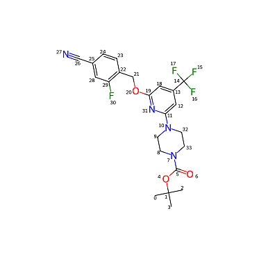 CC(C)(C)OC(=O)N1CCN(c2cc(C(F)(F)F)cc(OCc3ccc(C#N)cc3F)n2)CC1